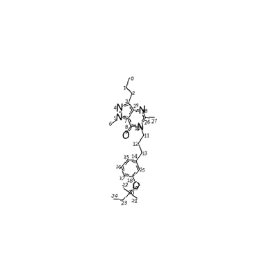 CCCc1nn(C)c2c(=O)n(CCCc3cccc(OC(C)(C)CC)c3)c(C)nc12